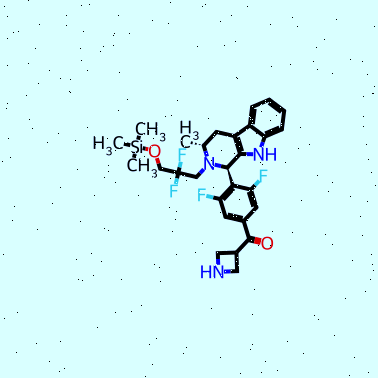 C[C@@H]1Cc2c([nH]c3ccccc23)[C@@H](c2c(F)cc(C(=O)C3CNC3)cc2F)N1CC(F)(F)CO[Si](C)(C)C